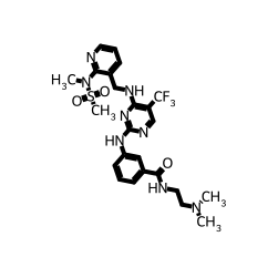 CN(C)CCNC(=O)c1cccc(Nc2ncc(C(F)(F)F)c(NCc3cccnc3N(C)S(C)(=O)=O)n2)c1